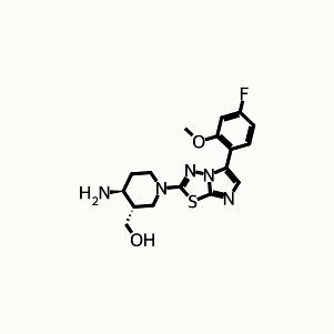 COc1cc(F)ccc1-c1cnc2sc(N3CC[C@H](N)[C@@H](CO)C3)nn12